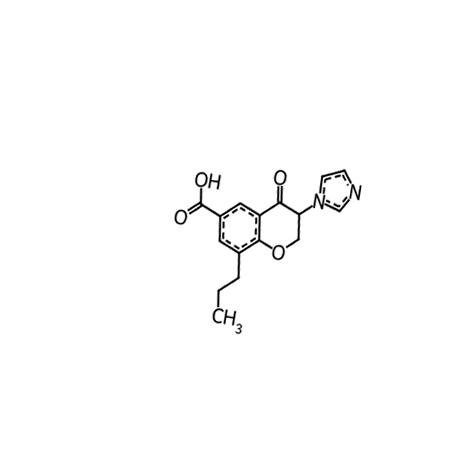 CCCc1cc(C(=O)O)cc2c1OCC(n1ccnc1)C2=O